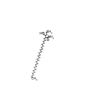 CCCCCCCCCCCCCCCCCCCCCCCCCCCCC(C(N)=O)C(CO)CCC